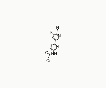 N#Cc1ncc(-c2cnc(NC(=O)C3CC3)cn2)cc1F